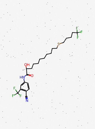 C[C@](O)(CCCCCCCCCSCCCCC(F)(F)F)C(=O)Nc1ccc(C#N)c(C(F)(F)F)c1